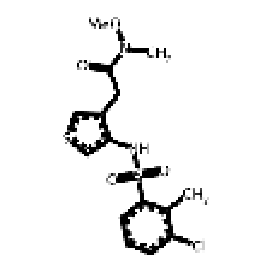 CON(C)C(=O)Cc1cscc1NS(=O)(=O)c1cccc(Cl)c1C